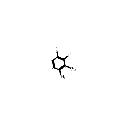 Cc1c(N)ccc(F)c1F